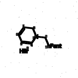 Br.CCCCCCN1C=CC=CC1